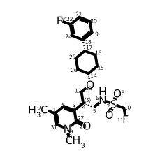 Cc1cc([C@@H](CNS(=O)(=O)CF)CO[C@H]2CC[C@@H](c3cccc(F)c3)CC2)c(=O)n(C)c1